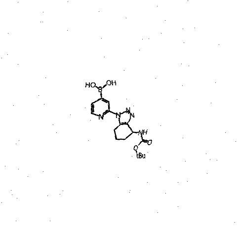 CC(C)(C)OC(=O)NC1CCCc2c1nnn2-c1cc(B(O)O)ccn1